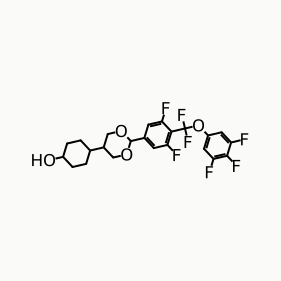 OC1CCC(C2COC(c3cc(F)c(C(F)(F)Oc4cc(F)c(F)c(F)c4)c(F)c3)OC2)CC1